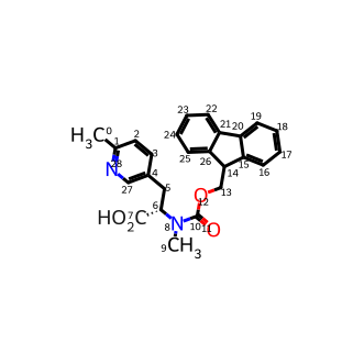 Cc1ccc(C[C@@H](C(=O)O)N(C)C(=O)OCC2c3ccccc3-c3ccccc32)cn1